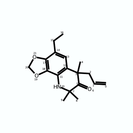 C=CCC1(C)C(=O)C(C)(C)Nc2c1cc(CC)c1c2OCO1